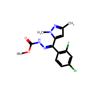 Cc1cc(C(=NNC(=O)OC(C)(C)C)c2ccc(Br)cc2F)n(C)n1